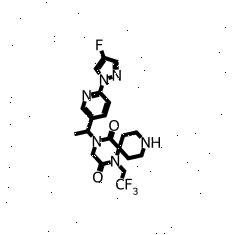 CC(c1ccc(-n2cc(F)cn2)nc1)N1CC(=O)N(CC(F)(F)F)C2(CCNCC2)C1=O